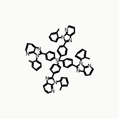 Cc1ccccc1-n1c(-c2ccc([Si](c3ccc(-c4nc5cccnc5n4-c4ccccc4C)cc3)(c3ccc(-c4nc5cccnc5n4-c4ccccc4C)cc3)c3ccc(-c4nc5cccnc5n4-c4ccccc4C)cc3)cc2)nc2cccnc21